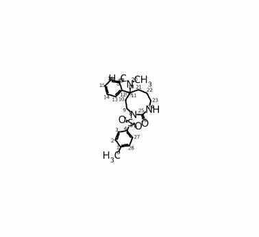 Cc1ccc(S(=O)(=O)N2CC[C@@](c3ccccc3)(N(C)C)CCCNC2=O)cc1